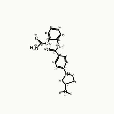 CN(C)C1CCN(c2ccc(C(=O)Nc3ccccc3OC(N)=O)cc2)C1